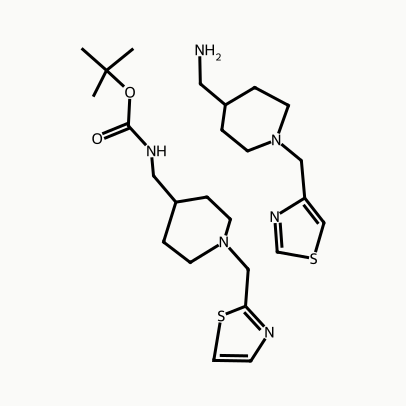 CC(C)(C)OC(=O)NCC1CCN(Cc2nccs2)CC1.NCC1CCN(Cc2cscn2)CC1